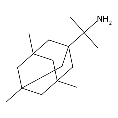 CC12CC3(C)CC(C)(C1)CC(C(C)(C)N)(C2)C3